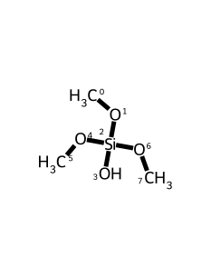 CO[Si](O)(OC)OC